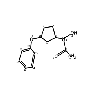 NC(=O)N(O)C1CCC(Oc2ccccc2)C1